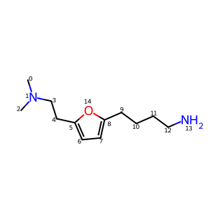 CN(C)CCc1ccc(CCCCN)o1